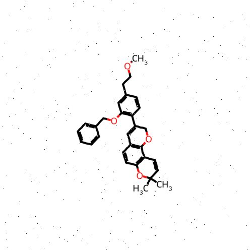 COCCc1ccc(C2=Cc3ccc4c(c3OC2)C=CC(C)(C)O4)c(OCc2ccccc2)c1